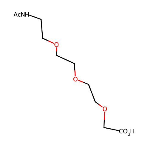 CC(=O)NCCOCCOCCOCC(=O)O